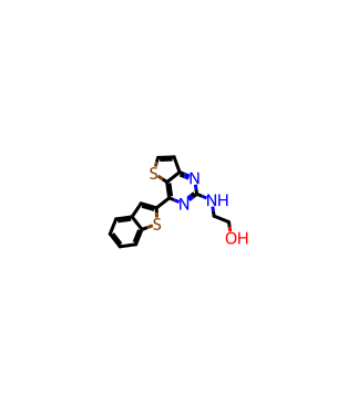 OCCNc1nc(-c2cc3ccccc3s2)c2sccc2n1